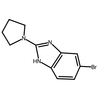 Brc1ccc2[nH]c(N3CCCC3)nc2c1